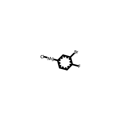 Fc1cc[c]([Mg][Cl])cc1Br